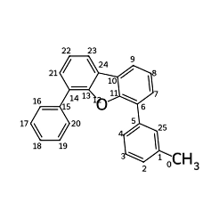 Cc1cccc(-c2cccc3c2oc2c(-c4ccccc4)cccc23)c1